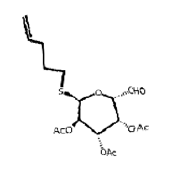 C=CCCCS[C@H]1O[C@H](C=O)[C@H](OC(C)=O)[C@H](OC(C)=O)[C@H]1OC(C)=O